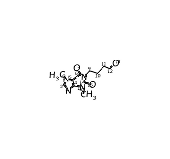 Cn1cnc2c1c(=O)n(CCCC=O)c(=O)n2C